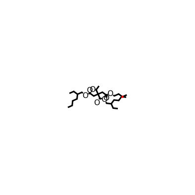 CCCCOC(=O)CC(CC(=O)OCC(CC)CCCC)(C(C)=O)C(=O)OCC(CC)CCCC